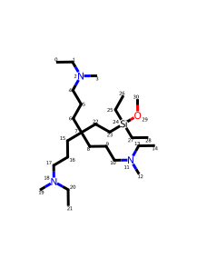 CCN(C)CCCC(CCCN(C)CC)(CCCN(C)CC)CC[Si](CC)(CC)OC